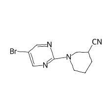 N#CC1CCCN(c2ncc(Br)cn2)C1